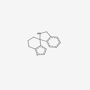 c1ccc2c(c1)CNC21CCCc2sccc21